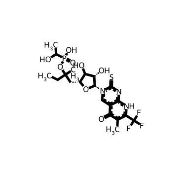 CCC(C)(C[C@H]1O[C@@H](n2cc3c(=O)c(C)c(C(F)(F)F)[nH]c3nc2=S)[C@@H](O)C1O)OP(=O)(O)C(C)O